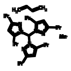 C=CC=C.CC(C)c1cc(C(C)C)n(C(n2nc(C(C)C)cc2C(C)C)n2nc(C(C)C)cc2C(C)C)n1.[Mn]